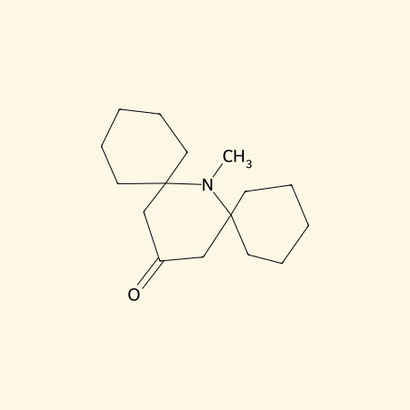 CN1C2(CCCCC2)CC(=O)CC12CCCCC2